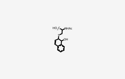 CC(=O)NC(CSC1C=Cc2ccccc2C1O)C(=O)O